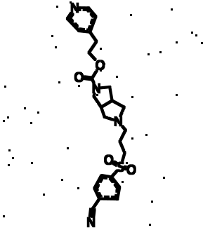 N#Cc1ccc(S(=O)(=O)CCCN2CC3CN(C(=O)OCCc4ccncc4)CC3C2)cc1